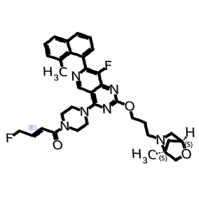 Cc1cccc2cccc(-c3ncc4c(N5CCN(C(=O)/C=C/CF)CC5)nc(OCCCN5C[C@@H]6C[C@@]5(C)CO6)nc4c3F)c12